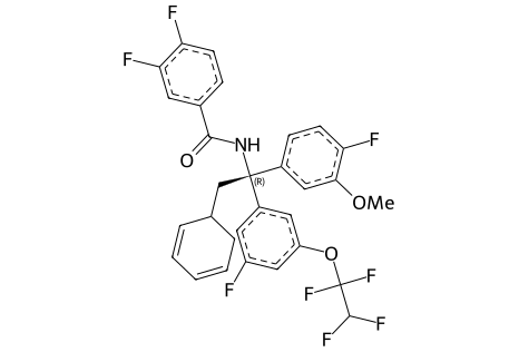 COc1cc([C@@](CC2C=CC=CC2)(NC(=O)c2ccc(F)c(F)c2)c2cc(F)cc(OC(F)(F)C(F)F)c2)ccc1F